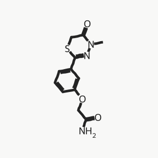 CN1N=C(c2cccc(OCC(N)=O)c2)SCC1=O